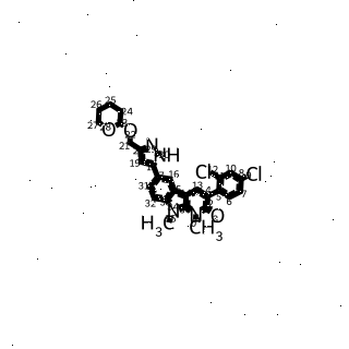 Cn1c(=O)c(-c2ccc(Cl)cc2Cl)cc2c3cc(-c4cc(COC5CCCCO5)n[nH]4)ccc3n(C)c21